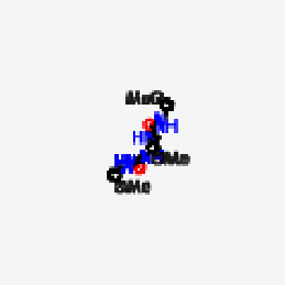 COc1cccc(/C=N/NC(=O)CNc2cc3[nH]c(C(=O)N/N=C/c4cccc(OC)c4)cc3cc2OC)c1